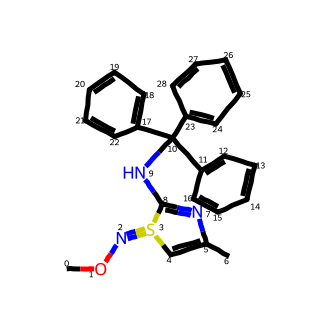 CON=S1C=C(C)N=C1NC(c1ccccc1)(c1ccccc1)c1ccccc1